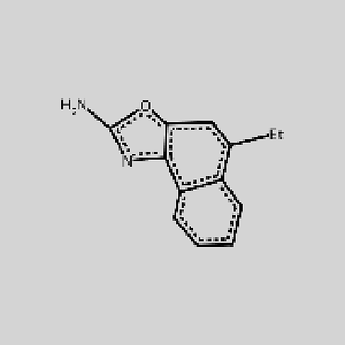 CCc1cc2oc(N)nc2c2ccccc12